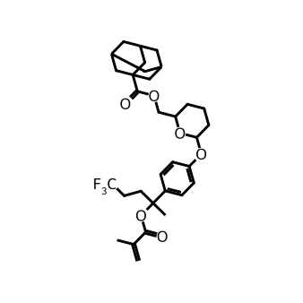 C=C(C)C(=O)OC(C)(CCC(F)(F)F)c1ccc(OC2CCCC(COC(=O)C34CC5CC(CC(C5)C3)C4)O2)cc1